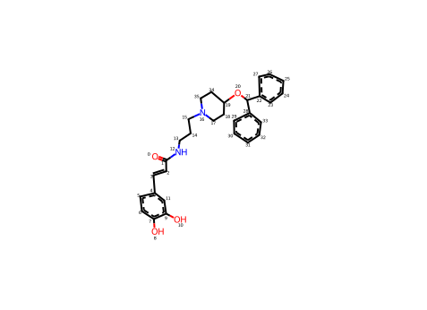 O=C(C=Cc1ccc(O)c(O)c1)NCCCN1CCC(OC(c2ccccc2)c2ccccc2)CC1